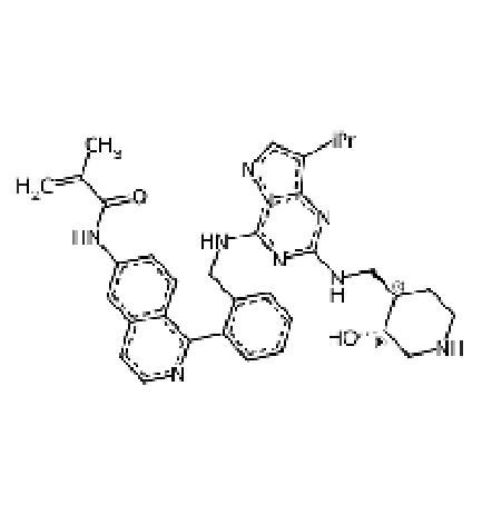 C=C(C)C(=O)Nc1ccc2c(-c3ccccc3CNc3nc(NC[C@H]4CCNC[C@@H]4O)nc4c(C(C)C)cnn34)nccc2c1